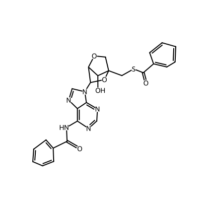 O=C(Nc1ncnc2c1ncn2C1OC2(CSC(=O)c3ccccc3)COC1C2O)c1ccccc1